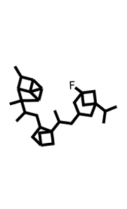 CC1C2C3C4C(C)(C(C)CC5CC6CC5(C(C)CC5CC7(F)CC(C(C)C)(C5)C7)C6)C1C234